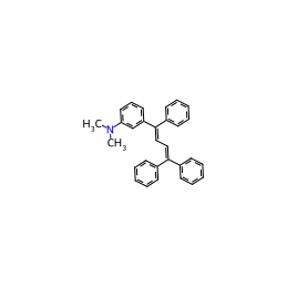 CN(C)c1cccc(C(=CC=C(c2ccccc2)c2ccccc2)c2ccccc2)c1